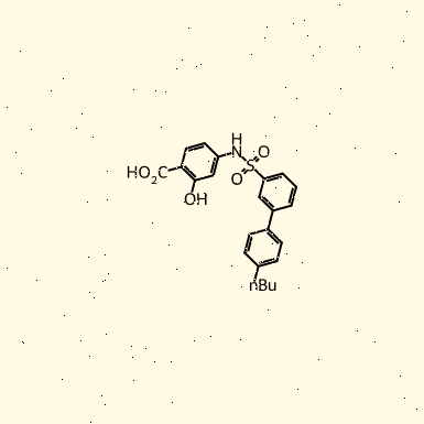 CCCCc1ccc(-c2cccc(S(=O)(=O)Nc3ccc(C(=O)O)c(O)c3)c2)cc1